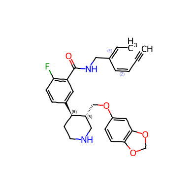 C#C/C=C\C(=C/C)CNC(=O)c1cc([C@@H]2CCNC[C@H]2COc2ccc3c(c2)OCO3)ccc1F